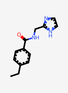 CCc1ccc(C(=O)NCc2ncc[nH]2)cc1